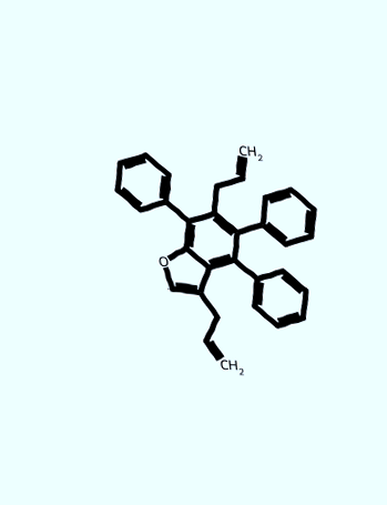 C=CCc1c(-c2ccccc2)c(-c2ccccc2)c2c(CC=C)[c]oc2c1-c1ccccc1